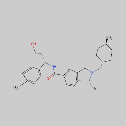 Cc1ccc([C@H](CCO)NC(=O)c2ccc3c(c2)CN(C[C@H]2CC[C@H](C)CC2)[C@@H]3C(C)C)cc1